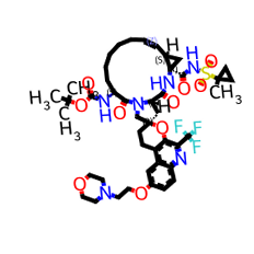 CC(C)(C)OC(=O)N[C@H]1CCCCC/C=C\[C@@H]2C[C@@]2(C(=O)NS(=O)(=O)C2(C)CC2)NC(=O)[C@@H]2C[C@]3(CCc4c(c(C(F)(F)F)nc5ccc(OCCN6CCOCC6)cc45)O3)CN2C1=O